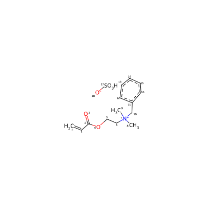 C=CC(=O)OCC[N+](C)(C)Cc1ccccc1.O=S(=O)([O-])O